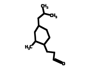 CC(C)CC1CCC(CCC=O)C(C)C1